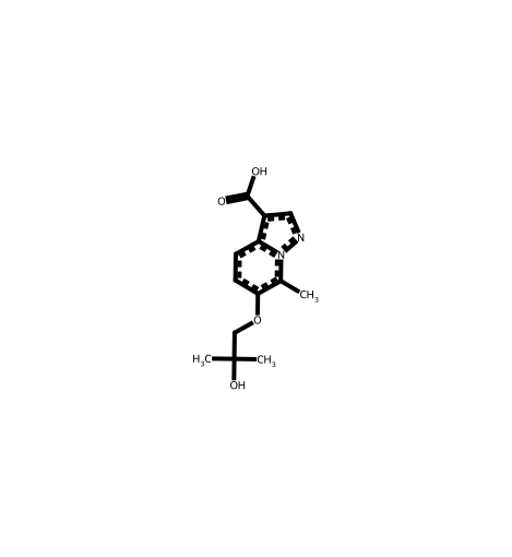 Cc1c(OCC(C)(C)O)ccc2c(C(=O)O)cnn12